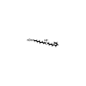 CCCCCCCCCCCCCCCCCCOCCCCN1CCCC1.I